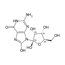 Nc1nc2c(nc(O)n2[C@@]2(O)O[C@H](CO)[C@@H](O)[C@H]2O)c(=O)[nH]1